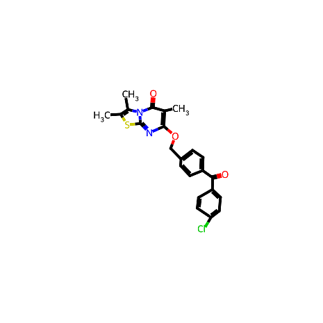 Cc1sc2nc(OCc3ccc(C(=O)c4ccc(Cl)cc4)cc3)c(C)c(=O)n2c1C